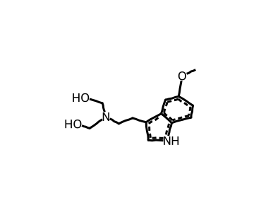 COc1ccc2[nH]cc(CCN(CO)CO)c2c1